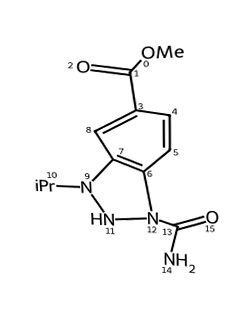 COC(=O)c1ccc2c(c1)N(C(C)C)NN2C(N)=O